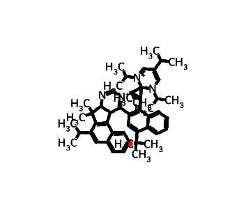 CC(C)C1=CN(C(C)C)C2([N+](C(C)C)=C1)C1(C)c3c(cc(C(C)(C)C)c4ccccc34)C3=[N+](C=NC4C3c3c(c(C(C)C)cc5ccccc35)C4(C)C)C12C